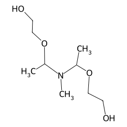 CC(OCCO)N(C)C(C)OCCO